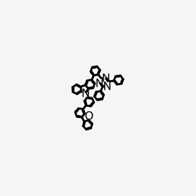 c1ccc(-c2nc(-c3ccccc3)nc(-c3ccccc3-c3ccc4c(c3)c3ccccc3n4-c3cccc(-c4cccc5c4oc4ccccc45)c3)n2)cc1